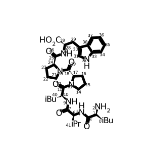 CC[C@H](C)[C@H](N)C(=O)N[C@H](C(=O)N[C@H](C(=O)N1CCC[C@H]1C(=O)N1CCC[C@H]1C(=O)N[C@@H](Cc1c[nH]c2ccccc12)C(=O)O)[C@@H](C)CC)C(C)C